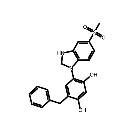 CS(=O)(=O)c1ccc2c(c1)N[CH]N2c1cc(Cc2ccccc2)c(O)cc1O